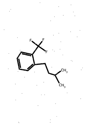 CC(C)CCc1ccccc1C(F)(F)F